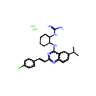 CC(C)c1ccc2nc(/C=C/c3ccc(Cl)cc3)nc(NC3CCCCC3NC(=N)N)c2c1.Cl.Cl